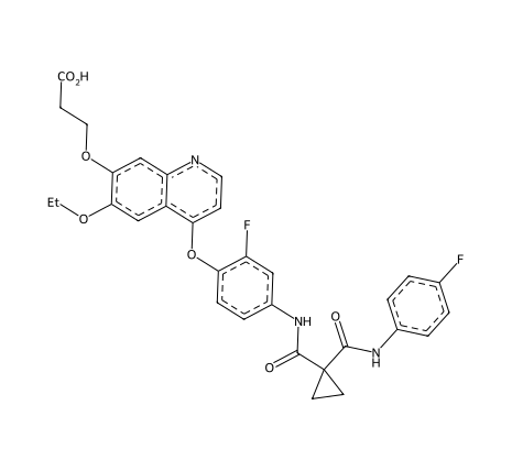 CCOc1cc2c(Oc3ccc(NC(=O)C4(C(=O)Nc5ccc(F)cc5)CC4)cc3F)ccnc2cc1OCCC(=O)O